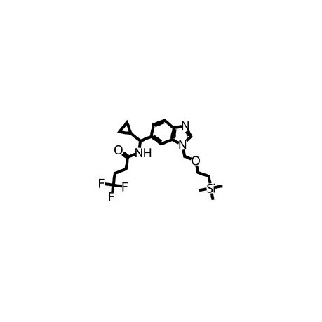 C[Si](C)(C)CCOCn1cnc2ccc(C(NC(=O)CCC(F)(F)F)C3CC3)cc21